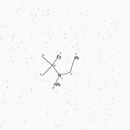 CCCN(CC(C)C)C(C)(C)CC